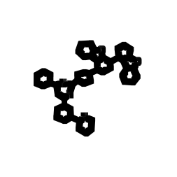 c1ccc(-c2cc(-c3cccc(-c4ccccn4)c3)nc(-c3ccc(-c4ccc(-c5cccc6oc7ccccc7c56)c5oc6ccccc6c45)cc3)n2)cc1